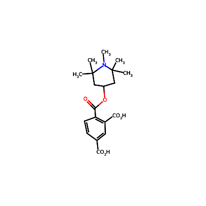 CN1C(C)(C)CC(OC(=O)c2ccc(C(=O)O)cc2C(=O)O)CC1(C)C